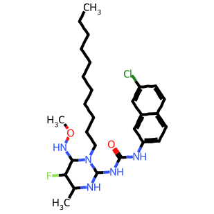 CCCCCCCCCCCN1C(NC(=O)Nc2ccc3ccc(Cl)cc3c2)NC(C)C(F)C1NOC